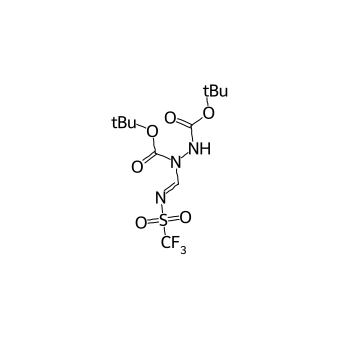 CC(C)(C)OC(=O)NN(C=NS(=O)(=O)C(F)(F)F)C(=O)OC(C)(C)C